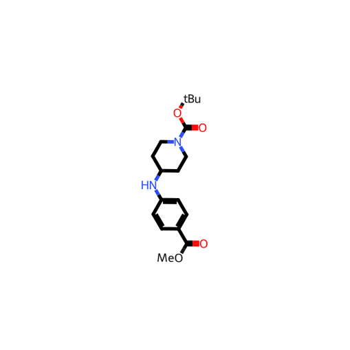 COC(=O)c1ccc(NC2CCN(C(=O)OC(C)(C)C)CC2)cc1